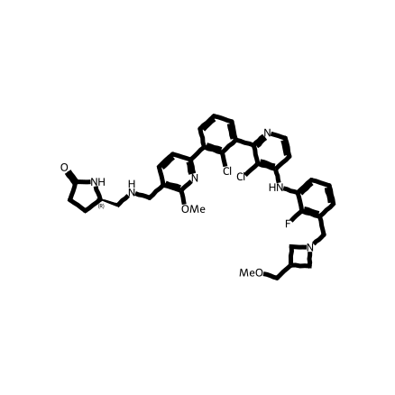 COCC1CN(Cc2cccc(Nc3ccnc(-c4cccc(-c5ccc(CNC[C@H]6CCC(=O)N6)c(OC)n5)c4Cl)c3Cl)c2F)C1